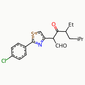 CCC(CC(C)C)C(=O)C(C=O)c1csc(-c2ccc(Cl)cc2)n1